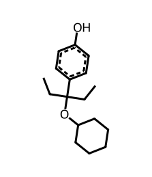 CCC(CC)(OC1CCCCC1)c1ccc(O)cc1